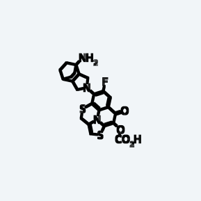 NC12CCC(CC1)C1CN(c3c(F)cc4c(=O)c(OC(=O)O)c5scc6n5c4c3SC6)CC12